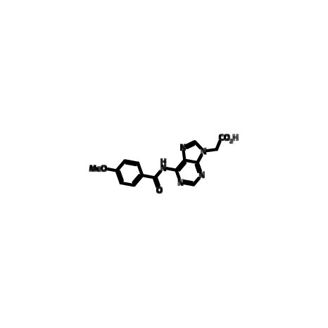 COc1ccc(C(=O)Nc2ncnc3c2ncn3CC(=O)O)cc1